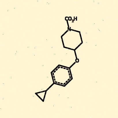 O=C(O)N1CCC(Oc2ccc(C3CC3)cc2)CC1